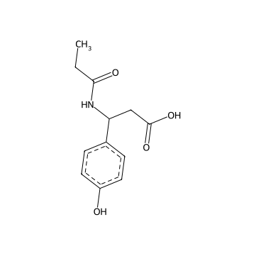 CCC(=O)NC(CC(=O)O)c1ccc(O)cc1